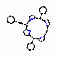 C(#Cc1c2nc(c(-c3ccccc3)c3ccc(cc4nc(c(-c5ccccc5)c5ccc1[nH]5)C=C4)[nH]3)C=C2)c1ccccc1